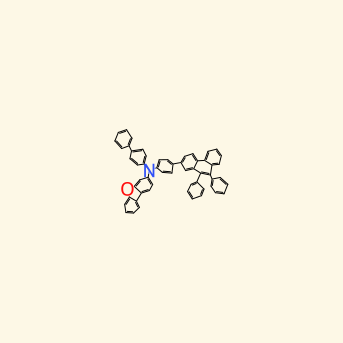 c1ccc(-c2ccc(N(c3ccc(-c4ccc5c(c4)c(-c4ccccc4)c(-c4ccccc4)c4ccccc45)cc3)c3ccc4c(c3)oc3ccccc34)cc2)cc1